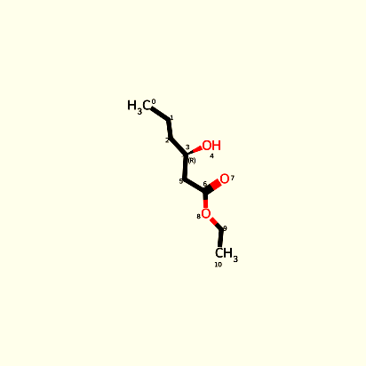 CCC[C@@H](O)CC(=O)OCC